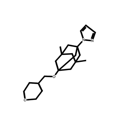 CC12CC3(C)CC(OCC4CCOCC4)(C1)CC(n1cccn1)(C2)C3